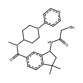 CN(C(=O)c1ccc2c(c1)C(NC(=O)CC(C)(C)C)CC2(C)C)C1CCN(c2ccncc2)CC1